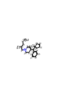 CCC(CC[C@H](C)CC)CN1CCC(C(c2ccccc2)C2(C)CCCC2)CC1